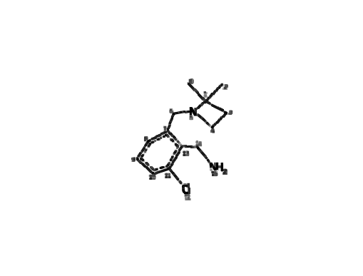 CC1(C)CCN1Cc1cccc(Cl)c1CN